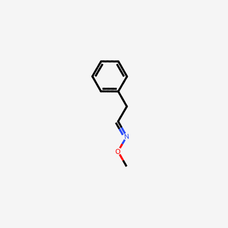 CON=CCc1ccccc1